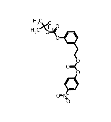 CC(C)(C)OC(=O)Oc1cccc(CCOC(=O)Oc2ccc([N+](=O)[O-])cc2)c1